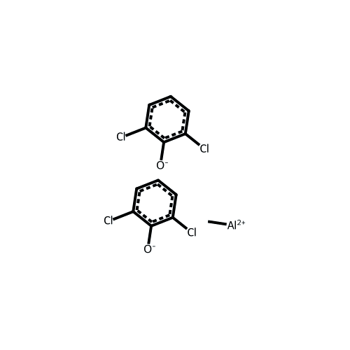 [CH3][Al+2].[O-]c1c(Cl)cccc1Cl.[O-]c1c(Cl)cccc1Cl